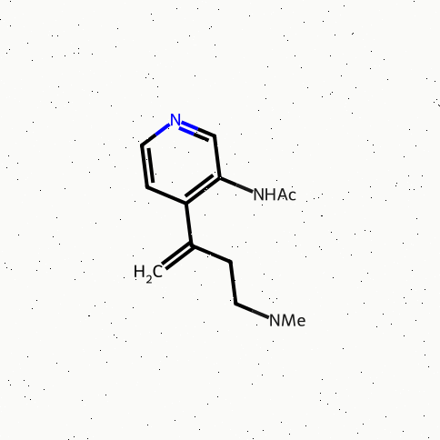 C=C(CCNC)c1ccncc1NC(C)=O